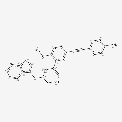 CC(C)Oc1ccc(C#Cc2cnc(N)nc2)cc1C(=O)N[C@@H](CO)Cc1c[nH]c2ccccc12